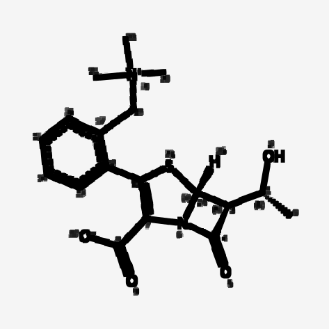 C[C@@H](O)[C@H]1C(=O)N2C(C(=O)[O-])=C(c3ccccc3C[N+](C)(C)C)S[C@H]12